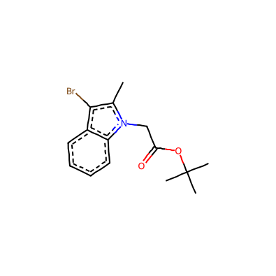 Cc1c(Br)c2ccccc2n1CC(=O)OC(C)(C)C